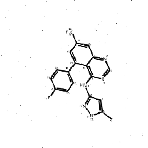 Cc1cc(Nc2n[c]nc3cc(C(F)(F)F)cc(-c4ccc(F)cc4)c23)n[nH]1